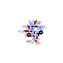 C[C@H](NC(=O)[C@H](CCCCN)NC(=O)[C@@H](NC(=O)[C@H](CCCNC(=N)N)NC(=O)[C@@H](N)[C@@H](C)O)[C@@H](C)O)C(=O)N[C@@H](Cc1ccc(O)cc1)C(=O)N[C@@H](Cc1c[nH]c2ccccc12)C(=O)N[C@@H](CO)C(=O)O